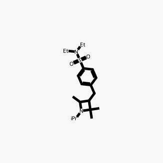 CCN(CC)S(=O)(=O)c1ccc(CC2C(C)N(C(C)C)C2(C)C)cc1